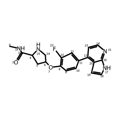 CNC(=O)C1CC(Oc2ccc(-c3ccnc4[nH]ccc34)cc2F)CN1